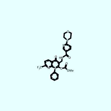 COC(=O)Oc1c(CNC(=O)c2ccc(N3CCOCC3)nc2)c(=O)c2ccc(C(F)(F)F)nc2n1-c1ccccc1